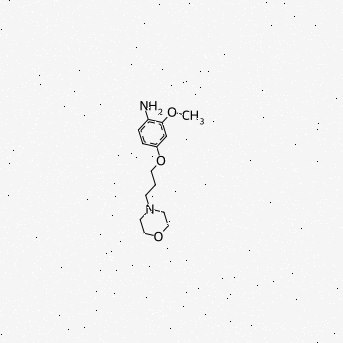 COc1cc(OCCCN2CCOCC2)ccc1N